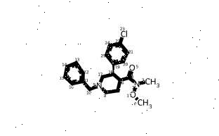 CON(C)C(=O)C1CCN(Cc2ccccc2)C[C@H]1c1ccc(Cl)cc1